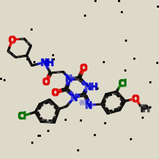 CC(C)Oc1ccc(/N=c2\[nH]c(=O)n(CC(=O)NCC3CCOCC3)c(=O)n2Cc2ccc(Cl)cc2)cc1Cl